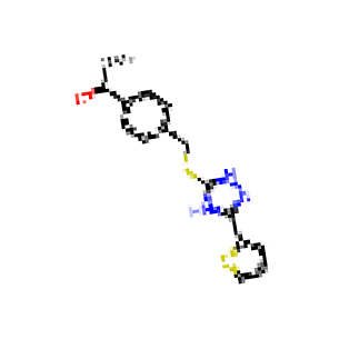 COC(=O)c1ccc(CSc2nnc(-c3cccs3)[nH]2)cc1